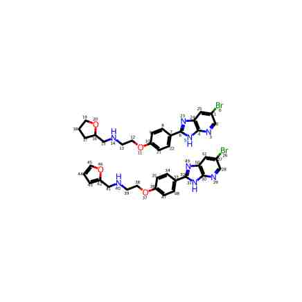 Brc1cnc2[nH]c(-c3ccc(OCCNCC4CCCO4)cc3)nc2c1.Brc1cnc2[nH]c(-c3ccc(OCCNCc4ccco4)cc3)nc2c1